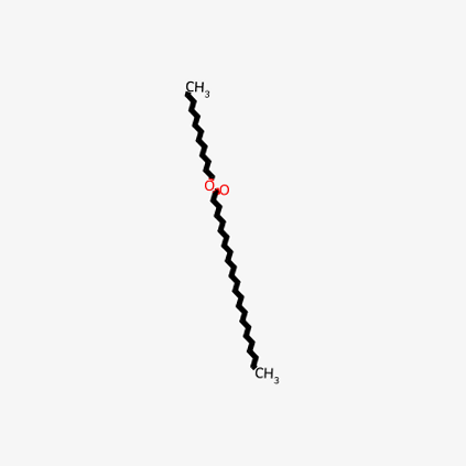 CCCCCCCCCCCCCCCCCCCCCCCCC(=O)OCCCCCCCCCCCCC